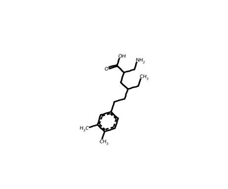 CCC(CCc1ccc(C)c(C)c1)CC(CN)C(=O)O